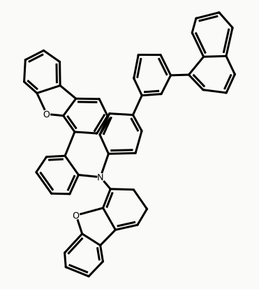 c1cc2c(oc3ccccc32)c(-c2ccccc2N(C2=c3oc4ccccc4c3=CCC2)c2ccc(-c3cccc(-c4cccc5ccccc45)c3)cc2)c#1